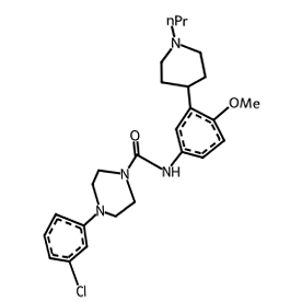 CCCN1CCC(c2cc(NC(=O)N3CCN(c4cccc(Cl)c4)CC3)ccc2OC)CC1